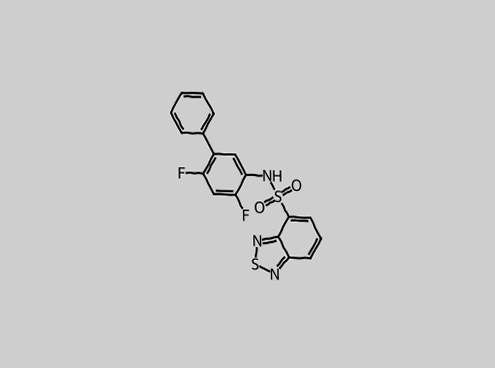 O=S(=O)(Nc1cc(-c2ccccc2)c(F)cc1F)c1cccc2nsnc12